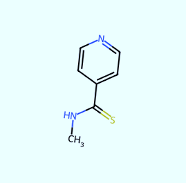 CNC(=S)c1ccncc1